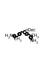 CCCCCCCCCCCCC(Cc1ccc(Cc2ccc(N)cc2C)cc1)Cc1ccc(Cc2ccc(N)cc2C)cc1